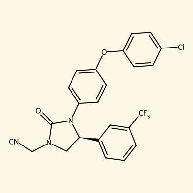 [C-]#[N+]CN1C[C@H](c2cccc(C(F)(F)F)c2)N(c2ccc(Oc3ccc(Cl)cc3)cc2)C1=O